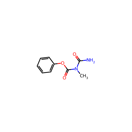 CN(C(N)=O)C(=O)Oc1ccccc1